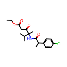 CCOC(=O)CC(=O)C(C)(NC(=O)C(C)c1ccc(Cl)cc1)C(C)C